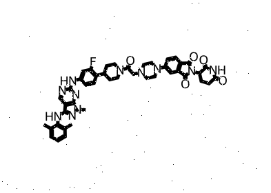 Cc1cccc(C)c1Nc1nn(C)c2nc(Nc3ccc(C4CCN(C(=O)CN5CCN(c6ccc7c(c6)C(=O)N(C6CCC(=O)NC6=O)C7=O)CC5)CC4)c(F)c3)ncc12